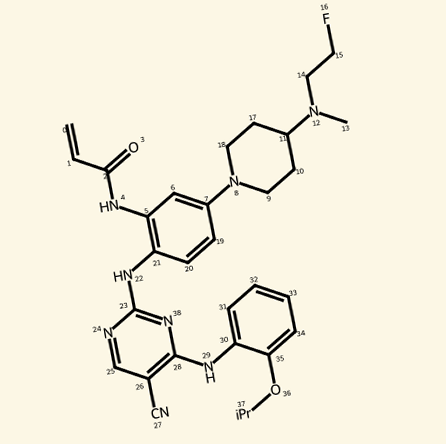 C=CC(=O)Nc1cc(N2CCC(N(C)CCF)CC2)ccc1Nc1ncc(C#N)c(Nc2ccccc2OC(C)C)n1